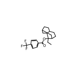 CCC1(OC(=O)c2ccc(C(F)(F)F)cc2)C2CCC3CCC(C2)CC31